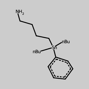 CCC[CH2][Sn]([CH2]CCC)([CH2]CCCN)[c]1ccccc1